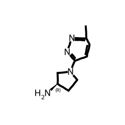 Cc1ccc(N2CC[C@@H](N)C2)nn1